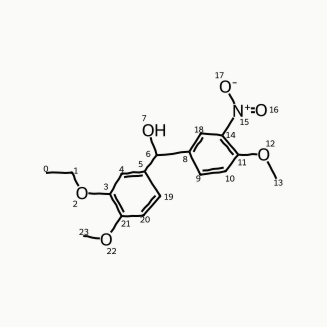 CCOc1cc(C(O)c2ccc(OC)c([N+](=O)[O-])c2)ccc1OC